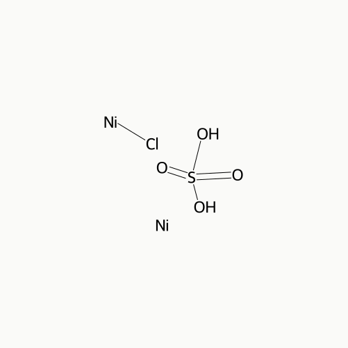 O=S(=O)(O)O.[Cl][Ni].[Ni]